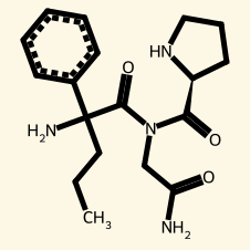 CCCC(N)(C(=O)N(CC(N)=O)C(=O)[C@@H]1CCCN1)c1ccccc1